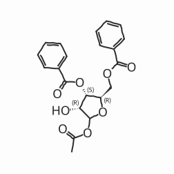 CC(=O)OC1O[C@H](COC(=O)c2ccccc2)[C@@H](OC(=O)c2ccccc2)[C@H]1O